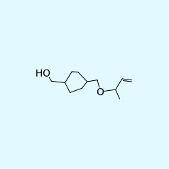 C=CC(C)OCC1CCC(CO)CC1